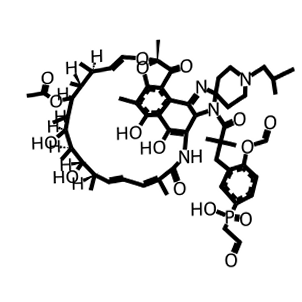 CC(=O)O[C@H]1[C@H](C)[C@H](O)[C@H](C)[C@@H](O)[C@@H](C)/C=C/C=C(/C)C(=O)NC2=C(O)c3c(O)c(C)c4c(c3C3=NC5(CCN(CC(C)C)CC5)N(C(=O)C(C)(C)Cc5cc(P(=O)(O)CC=O)ccc5OC=O)C32)C(=O)[C@@](C)(O/C=C/[C@H](C)[C@H]1C)O4